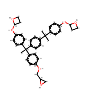 CC(C)(c1ccc(O[C@@H]2CCO2)cc1)c1ccc(C(C)(c2ccc(OCC3CO3)cc2)c2ccc(O[C@@H]3CCO3)cc2)cc1